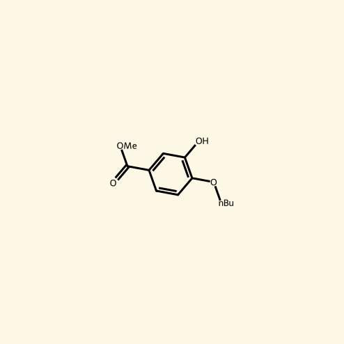 CCCCOc1ccc(C(=O)OC)cc1O